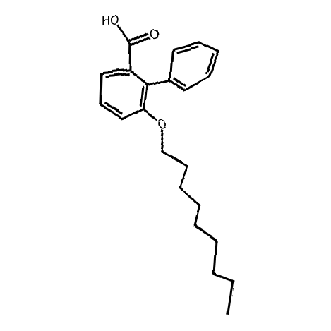 CCCCCCCCCOc1cccc(C(=O)O)c1-c1ccccc1